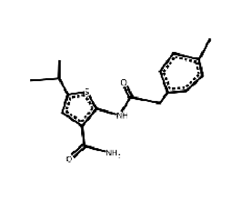 Cc1ccc(CC(=O)Nc2sc(C(C)C)cc2C(N)=O)cc1